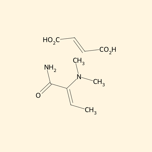 CC=C(C(N)=O)N(C)C.O=C(O)C=CC(=O)O